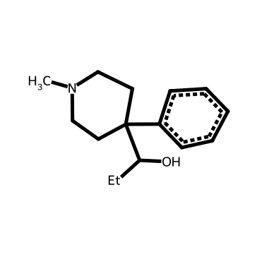 CCC(O)C1(c2ccccc2)CCN(C)CC1